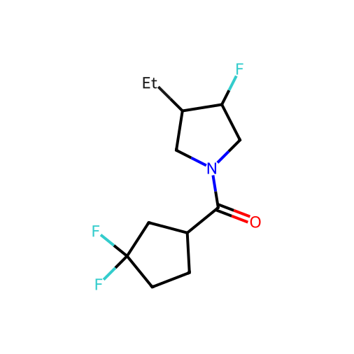 CCC1CN(C(=O)C2CCC(F)(F)C2)CC1F